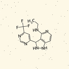 CCNc1nccc2c1C(c1cc(C(F)(F)F)ncn1)NN2